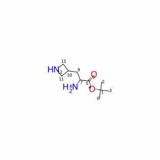 CC(C)(C)OC(=O)C(N)CC1CNC1